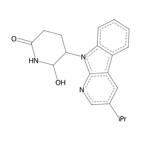 CC(C)c1cnc2c(c1)c1ccccc1n2C1CCC(=O)NC1O